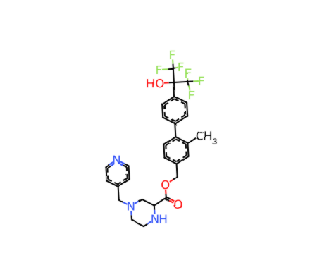 Cc1cc(COC(=O)C2CN(Cc3ccncc3)CCN2)ccc1-c1ccc(C(O)(C(F)(F)F)C(F)(F)F)cc1